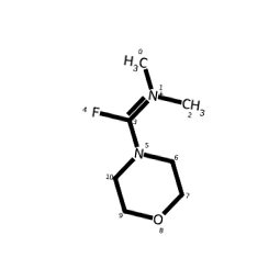 C[N+](C)=C(F)N1CCOCC1